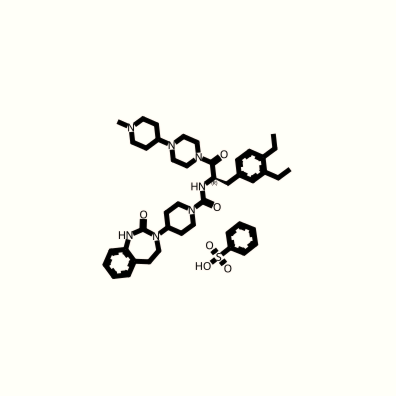 CCc1ccc(C[C@@H](NC(=O)N2CCC(N3CCc4ccccc4NC3=O)CC2)C(=O)N2CCN(C3CCN(C)CC3)CC2)cc1CC.O=S(=O)(O)c1ccccc1